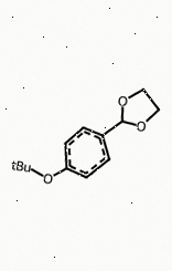 CC(C)(C)Oc1ccc(C2OCCO2)cc1